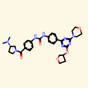 CN(C)[C@@H]1CCN(C(=O)c2ccc(NC(=O)Nc3ccc(-c4nc(OC5CCOC5)nc(N5CCOCC5)n4)cc3)cc2)C1